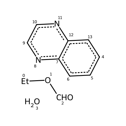 CCOC=O.O.c1ccc2nccnc2c1